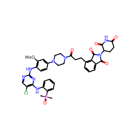 COc1cc(N2CCN(C(=O)CCc3cccc4c3C(=O)N(C3CCC(=O)NC3=O)C4=O)CC2)ccc1Nc1ncc(Cl)c(Nc2ccccc2P(C)(C)=O)n1